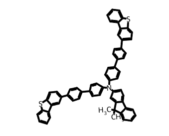 CC1(C)c2ccccc2-c2ccc(N(c3ccc(-c4ccc(-c5ccc6sc7ccccc7c6c5)cc4)cc3)c3ccc(-c4ccc(-c5ccc6sc7ccccc7c6c5)cc4)cc3)cc21